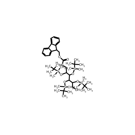 CC(C)(C)[Si](C)(C)OC(CO)C(O[Si](C)(C)C(C)(C)C)C(O[Si](C)(C)C(C)(C)C)C(CNC(=O)OCC1c2ccccc2-c2ccccc21)O[Si](C)(C)C(C)(C)C